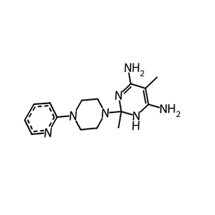 CC1=C(N)NC(C)(N2CCN(c3ccccn3)CC2)N=C1N